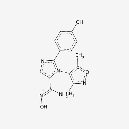 Cc1noc(C)c1-n1c(/C(N)=N/O)cnc1-c1ccc(O)cc1